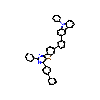 c1ccc(-c2ccc(-c3nc(-c4ccccc4)nc4c3sc3cc(-c5cccc(-c6ccc7c(c6)c6ccccc6n7-c6ccccc6)c5)ccc34)cc2)cc1